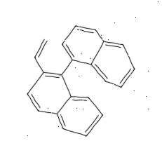 C=Cc1ccc2ccccc2c1-c1cccc2ccccc12